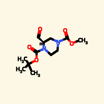 COC(=O)N1CCN(C(=O)OC(C)(C)C)[C@@H](C=O)C1